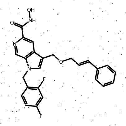 O=C(NO)c1cc2c(COCC=Cc3ccccc3)cn(Cc3ccc(F)cc3F)c2cn1